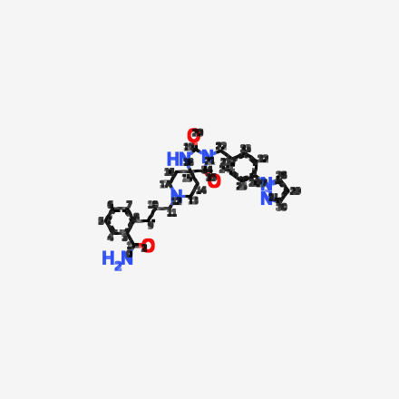 NC(=O)c1ccccc1[CH]CCN1CCC2(CC1)NC(=O)N(Cc1ccc(-n3cccn3)cc1)C2=O